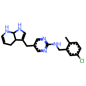 Cc1ccc(Cl)cc1CNc1ncc(CC2=CNC3NC=CCC23)cn1